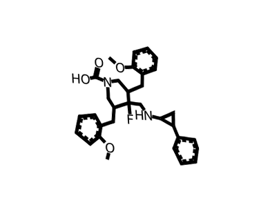 COc1ccccc1CC1CN(C(=O)O)CC(Cc2ccccc2OC)C1(F)CNC1CC1c1ccccc1